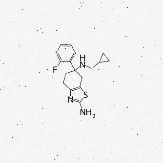 Nc1nc2c(s1)CC(NCC1CC1)(c1ccccc1F)CC2